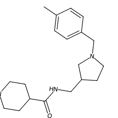 Cc1ccc(CN2CCC(CNC(=O)C3CCNCC3)C2)cc1